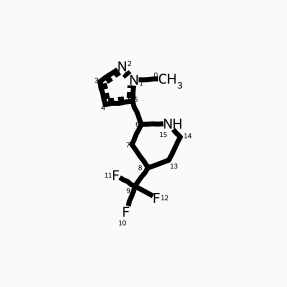 Cn1nccc1C1CC(C(F)(F)F)CCN1